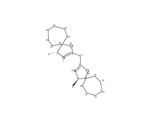 C[C@H]1N=C(CC2=N[C@H](C)C3(CCCCCC3)O2)OC12CCCCCC2